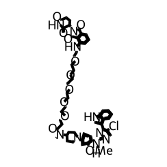 COc1cc(N2CCC(N(C)C(=O)CCOCCOCCOCCOCCOCCNc3cccc4c3C(=O)N(C3CCC(=O)NC3=O)C4=O)CC2)ccc1Nc1ncc(Cl)c(-c2c[nH]c3ccccc23)n1